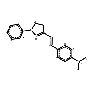 CN(C)c1ccc(C=CC2=NN(c3ccccc3)CC2)cc1